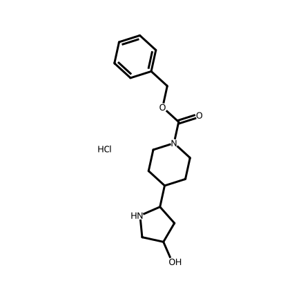 Cl.O=C(OCc1ccccc1)N1CCC(C2CC(O)CN2)CC1